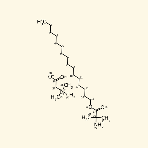 CCCCCCCCCCCCCCCCOC(=O)C(C)(C)N.C[N+](C)(C)CC(=O)[O-]